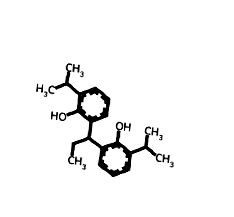 CCC(c1cccc(C(C)C)c1O)c1cccc(C(C)C)c1O